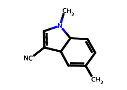 CC1=CC2C(C#N)=CN(C)C2C=C1